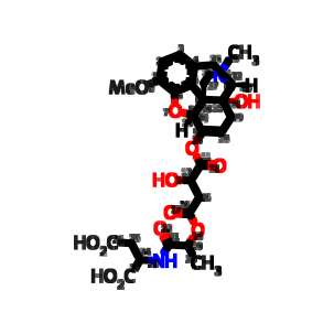 COc1ccc2c3c1O[C@H]1C(OC(=O)C(O)CC(=O)OC(C)C(=O)NC(CC(=O)O)C(=O)O)=CC[C@@]4(O)[C@@H](C2)N(C)CC[C@]314